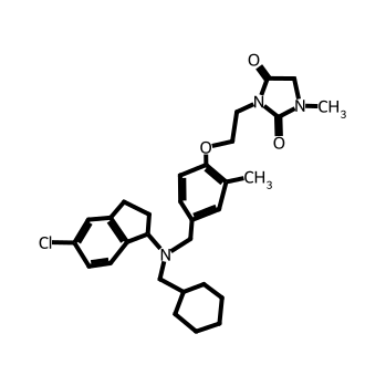 Cc1cc(CN(CC2CCCCC2)C2CCc3cc(Cl)ccc32)ccc1OCCN1C(=O)CN(C)C1=O